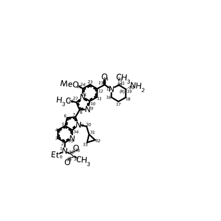 CCN(c1ccc2cc(-c3nc4cc(C(=O)N5CCC[C@@H](N)[C@H]5C)cc(OC)n4c3C)n(CC3CC3)c2n1)S(C)(=O)=O